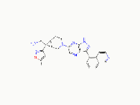 Cc1cc(C2(CN)C3CCN(c4cnc5c(-c6cccc7cnccc67)n[nH]c5n4)CC32)no1